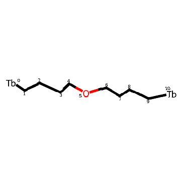 [Tb][CH2]CCCOCCC[CH2][Tb]